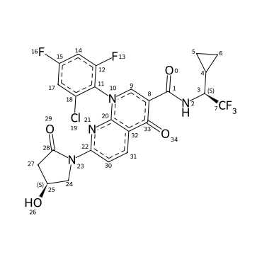 O=C(N[C@@H](C1CC1)C(F)(F)F)c1cn(-c2c(F)cc(F)cc2Cl)c2nc(N3C[C@@H](O)CC3=O)ccc2c1=O